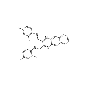 Cc1ccc(SCc2nc3cc4ccccc4cc3nc2CSc2ccc(C)cc2C)c(C)c1